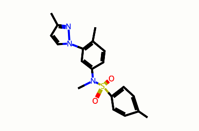 Cc1ccc(S(=O)(=O)N(C)c2ccc(C)c(-n3ccc(C)n3)c2)cc1